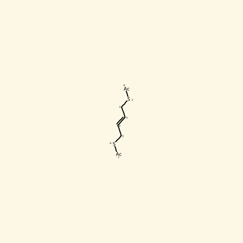 CC(=O)SC/C=C/CSC(C)=O